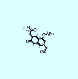 CCCCOC1=[C]N(CC(C)(C)C)C=C2CC(=O)C(CC(N)=O)C=C12